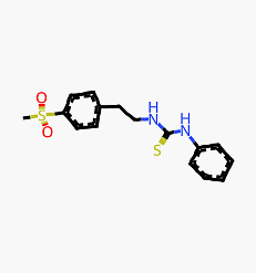 CS(=O)(=O)c1ccc(CCNC(=S)Nc2ccccc2)cc1